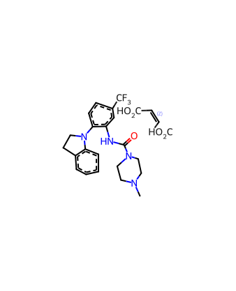 CN1CCN(C(=O)Nc2cc(C(F)(F)F)ccc2N2CCc3ccccc32)CC1.O=C(O)/C=C\C(=O)O